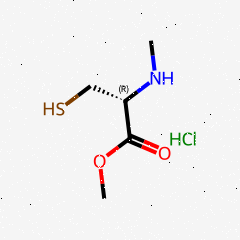 CN[C@@H](CS)C(=O)OC.Cl